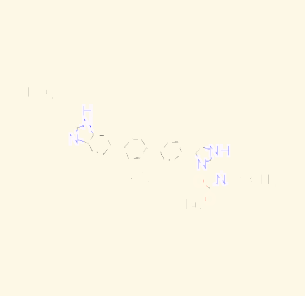 C[C@@H]1CC[C@H](c2nc3ccc(-c4ccc(-c5ccc(-c6c[nH]c([C@@H]7C[C@H](C)CN7C(=O)OC(C)(C)C)n6)cc5)c5c4CC4CCC54)cc3[nH]2)C1